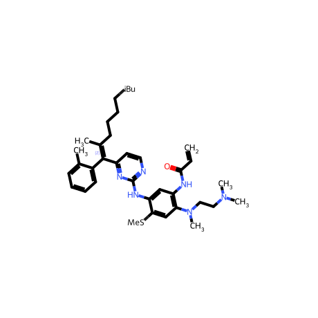 C=CC(=O)Nc1cc(Nc2nccc(/C(=C(/C)CCCCC(C)CC)c3ccccc3C)n2)c(SC)cc1N(C)CCN(C)C